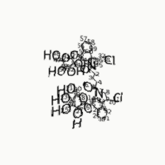 O=C(CCCC(=O)N1C[C@@H](CCl)c2c1cc(OC1OC(CO)C(O)C(O)C1O)c1ccccc21)N1C[C@@H](CCl)c2c1cc(OC1OC(CO)C(O)C(O)C1O)c1ccccc21